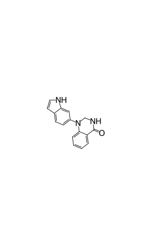 O=C1NCN(c2ccc3cc[nH]c3c2)c2ccccc21